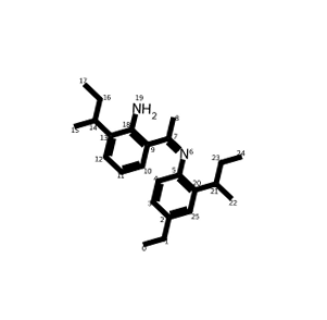 CCc1ccc(N=C(C)c2cccc(C(C)CC)c2N)c(C(C)CC)c1